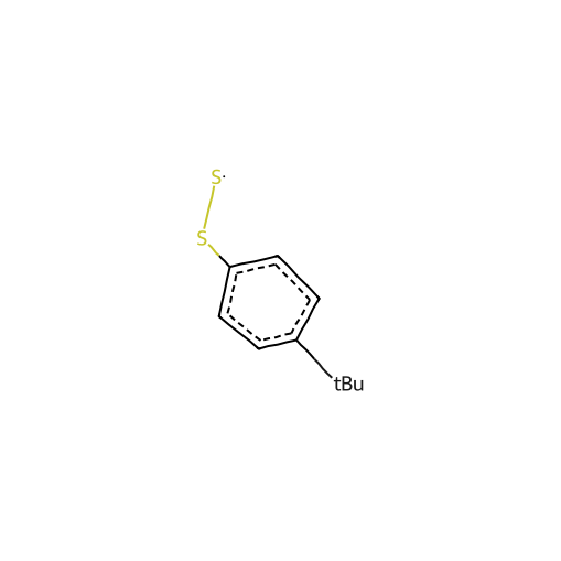 CC(C)(C)c1ccc(S[S])cc1